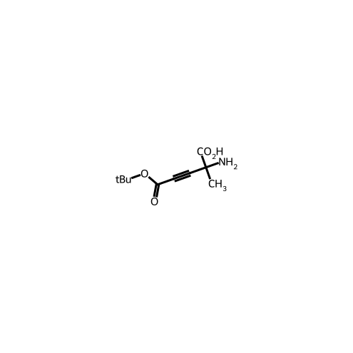 CC(C)(C)OC(=O)C#CC(C)(N)C(=O)O